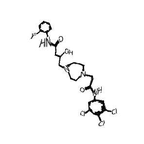 O=C(CN1CCN(CC(O)CC(=O)Nc2ccccc2F)CC1)Nc1cc(Cl)c(Cl)c(Cl)c1